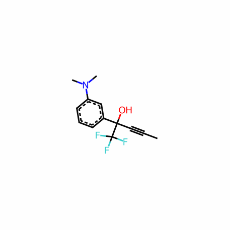 CC#CC(O)(c1cccc(N(C)C)c1)C(F)(F)F